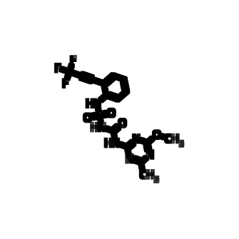 COc1nc(C)nc(NC(=O)NS(=O)(=O)Nc2ccccc2C#CC(F)(F)F)n1